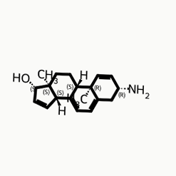 C[C@]12CC[C@H]3C(=CC=C4C[C@@H](N)C=C[C@@]43C)[C@@H]1C=C[C@@H]2O